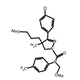 COCN(C(=O)N1CC(C)(CCCSC)C(c2ccc(Cl)cc2)=N1)c1ccc(C(F)(F)F)cc1